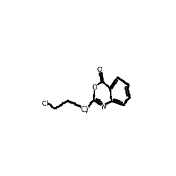 O=c1oc(OCCCl)nc2ccccc12